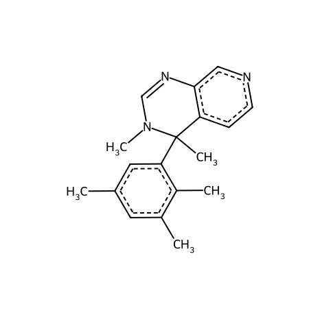 Cc1cc(C)c(C)c(C2(C)c3ccncc3N=CN2C)c1